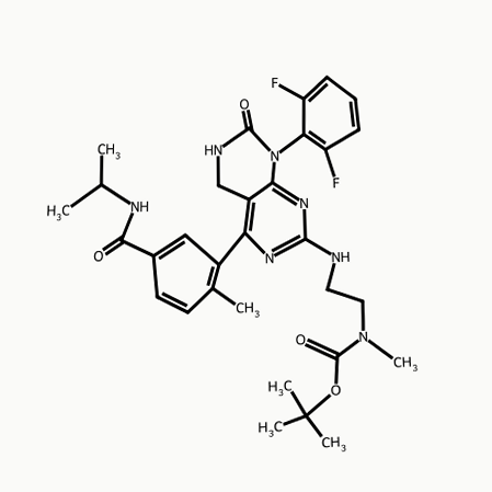 Cc1ccc(C(=O)NC(C)C)cc1-c1nc(NCCN(C)C(=O)OC(C)(C)C)nc2c1CNC(=O)N2c1c(F)cccc1F